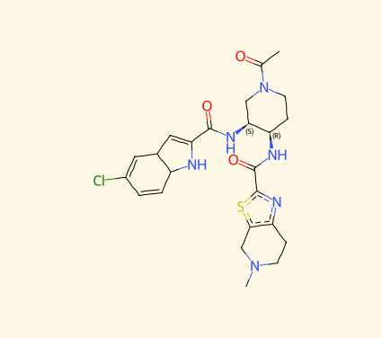 CC(=O)N1CC[C@@H](NC(=O)c2nc3c(s2)CN(C)CC3)[C@@H](NC(=O)C2=CC3C=C(Cl)C=CC3N2)C1